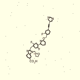 O=C(O)c1ccc2nc(Cc3cc(F)c(-c4cccc(OCc5ccc(C#Cc6cncnc6)cc5F)n4)cc3F)n(C[C@@H]3CCO3)c2c1